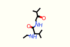 CCNC(C(=O)NCC(=O)C(C)C)C(C)C